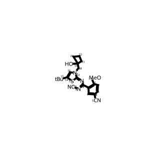 COc1ccc(C#N)cc1C(=NC#N)N=c1sc(C(C)(C)C)cn1CC1(O)CCC1